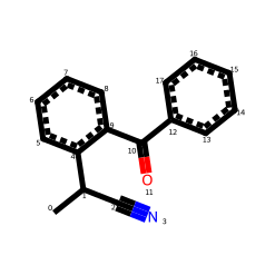 CC(C#N)c1ccccc1C(=O)c1ccccc1